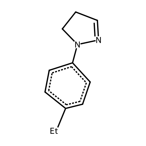 CCc1ccc(N2CCC=N2)cc1